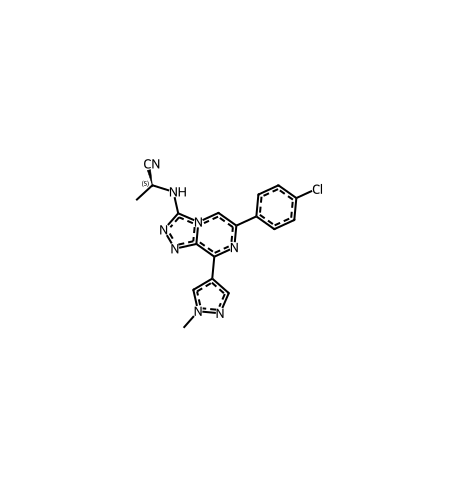 C[C@@H](C#N)Nc1nnc2c(-c3cnn(C)c3)nc(-c3ccc(Cl)cc3)cn12